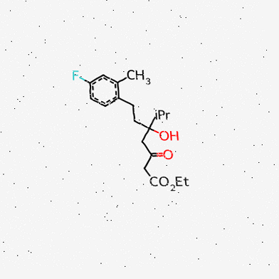 CCOC(=O)CC(=O)CC(O)(CCc1ccc(F)cc1C)C(C)C